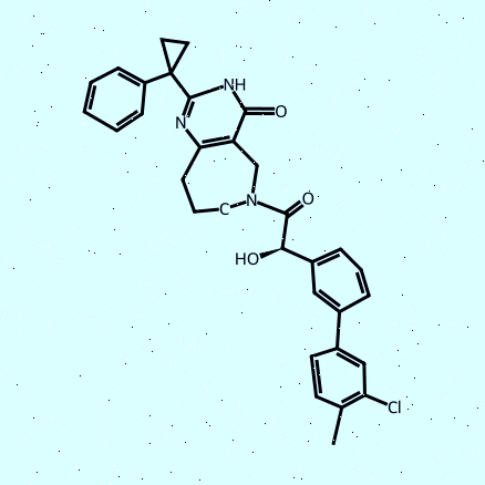 Cc1ccc(-c2cccc([C@@H](O)C(=O)N3CCCc4nc(C5(c6ccccc6)CC5)[nH]c(=O)c4C3)c2)cc1Cl